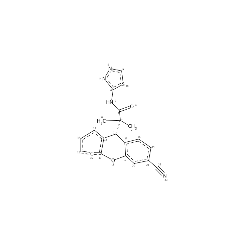 CC(C)(C(=O)Nc1nncs1)[C@H]1c2ccccc2Oc2cc(C#N)ccc21